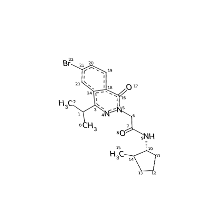 CC(C)c1nn(CC(=O)N[C@@H]2CCCC2C)c(=O)c2ccc(Br)cc12